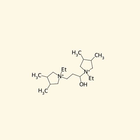 CC[N+]1(CCC(O)[N+]2(CC)CC(C)C(C)C2)CC(C)C(C)C1